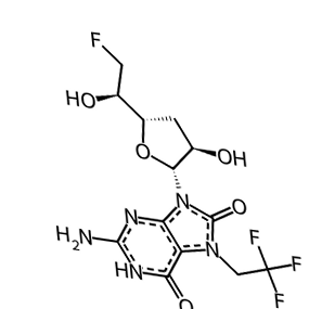 Nc1nc2c(c(=O)[nH]1)n(CC(F)(F)F)c(=O)n2[C@@H]1O[C@H]([C@@H](O)CF)C[C@H]1O